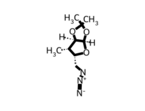 C[C@@H]1[C@H]2OC(C)(C)O[C@H]2O[C@@H]1CN=[N+]=[N-]